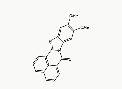 COc1cc2nc3c4cccc5cccc(c(=O)n3c2cc1OC)c54